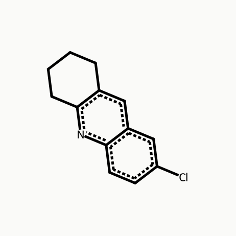 Clc1ccc2nc3c(cc2c1)CCCC3